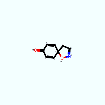 O=C1C=CC2(C=C1)CC=NO2